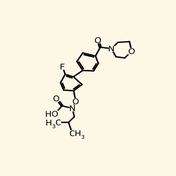 CC(C)CN(Oc1ccc(F)c(-c2ccc(C(=O)N3CCOCC3)cc2)c1)C(=O)O